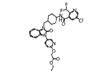 CCOC(=O)COc1ccc(-n2c(=O)n(CC3CCC(NC(=O)c4cc(Cl)cnc4C(F)F)CC3)c3ccccc32)cn1